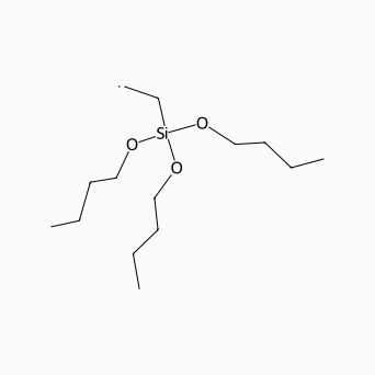 [CH2]C[Si](OCCCC)(OCCCC)OCCCC